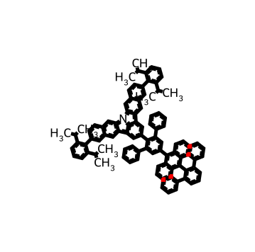 CC(C)c1cccc(C(C)C)c1-c1ccc2cc3c(cc2c1)c1cc(-c2c(-c4ccccc4)cc(-c4c5ccccc5c(-c5c(-c6ccccc6)cccc5-c5ccccc5)c5ccccc45)cc2-c2ccccc2)cc2c4cc5cc(-c6c(C(C)C)cccc6C(C)C)ccc5cc4n3c12